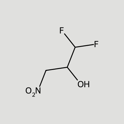 O=[N+]([O-])CC(O)C(F)F